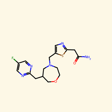 NC(=O)Cc1ncc(CN2CCOCC(Cc3ncc(F)cn3)C2)s1